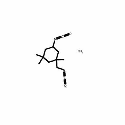 CC1(C)CC(N=C=O)CC(C)(CN=C=O)C1.N